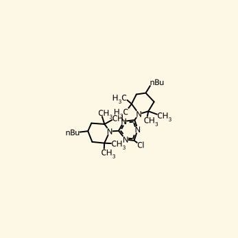 CCCCC1CC(C)(C)N(c2nc(Cl)nc(N3C(C)(C)CC(CCCC)CC3(C)C)n2)C(C)(C)C1